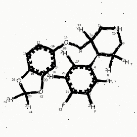 [2H]c1c([2H])c([C@@H]2C([2H])([2H])CNCC2([2H])COc2ccc3c(c2)OC([2H])([2H])O3)c([2H])c([2H])c1F